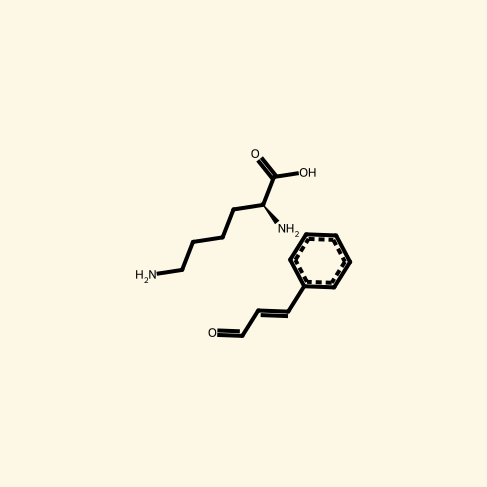 NCCCC[C@H](N)C(=O)O.O=C/C=C/c1ccccc1